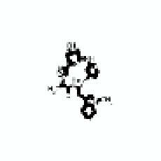 Cc1cc(Nc2cc(C(F)(F)F)ccn2)nc(-c2cn(C(C)C(=O)NCCc3cn(C)c4ccccc34)nn2)c1